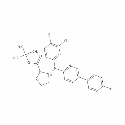 CC(C)(C)OC(=O)N1CCC[C@H]1N(c1ccc(F)c(Cl)c1)c1ccc(-c2ccc(F)cc2)cn1